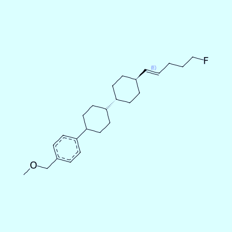 COCc1ccc(C2CCC([C@H]3CC[C@H](/C=C/CCCF)CC3)CC2)cc1